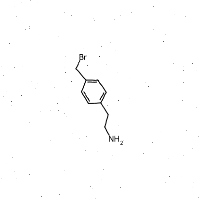 NCCc1ccc(CBr)cc1